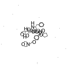 O=C(N[C@@H](Cc1ccccc1)[C@H](O)CN(OC1CCCC1)S(=O)(=O)c1ccc(OCCN2CCOCC2)cc1)O[C@H]1CO[C@H]2OCC[C@H]21